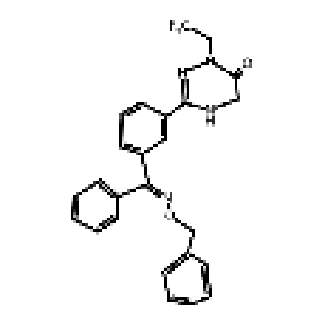 O=C1CNC(c2cccc(C(=NOCc3ccccc3)c3ccccc3)c2)=NN1CC(F)(F)F